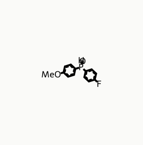 COc1ccc([PH](=O)c2ccc(F)cc2)cc1